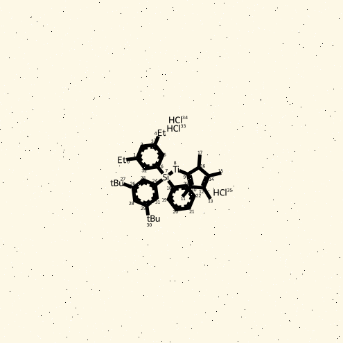 CCc1cc(CC)cc([Si]([Ti][C]2=C(C)C(C)=C(C)C2C)(c2ccccc2)c2cc(C(C)(C)C)cc(C(C)(C)C)c2)c1.Cl.Cl.Cl